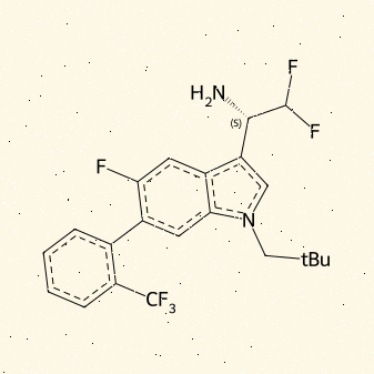 CC(C)(C)Cn1cc([C@H](N)C(F)F)c2cc(F)c(-c3ccccc3C(F)(F)F)cc21